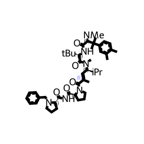 CN[C@H](C(=O)N[C@H](C(=O)N(C)[C@H](/C=C(\C)C(=O)N1CCC[C@H]1C(=O)NC(=O)[C@@H]1CCCN1Cc1ccccc1)C(C)C)C(C)(C)C)C(C)(C)c1ccc(C)c(C)c1